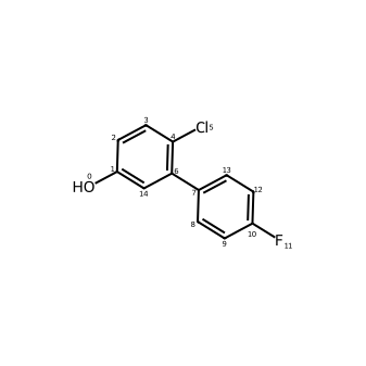 Oc1ccc(Cl)c(-c2ccc(F)cc2)c1